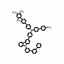 Cc1ccc(-c2ccc(N(c3ccc(-c4ccc(-c5cc(C)c(C)cc5C)cc4)cc3)c3ccc(-c4ccc5c(c4)c4ccccc4n5-c4cccc(-c5cccc(-c6ccccc6)c5)c4)cc3)cc2)cc1